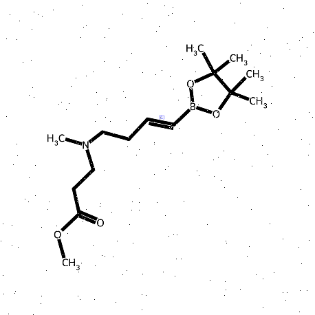 COC(=O)CCN(C)CC/C=C/B1OC(C)(C)C(C)(C)O1